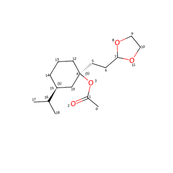 CC(=O)O[C@]1(CCC2OCCO2)CCC[C@H](C(C)C)C1